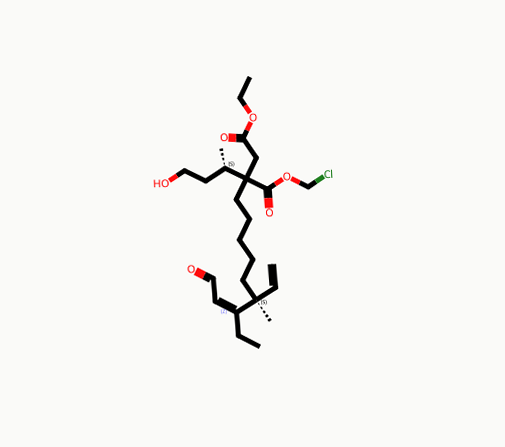 C=C[C@](C)(CCCCCC(CC(=O)OCC)(C(=O)OCCl)[C@@H](C)CCO)/C(=C\C=O)CC